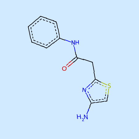 Nc1csc(CC(=O)Nc2ccccc2)n1